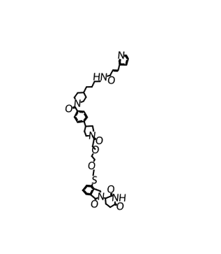 O=C(/C=C/c1cccnc1)NCCCCC1CCN(C(=O)c2ccc(C3CCN(C(=O)COCCOCCSc4cccc5c4CN(C4CCC(=O)NC4=O)C5=O)CC3)cc2)CC1